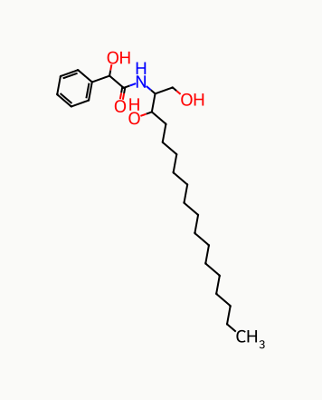 CCCCCCCCCCCCCCCC(O)C(CO)NC(=O)C(O)c1ccccc1